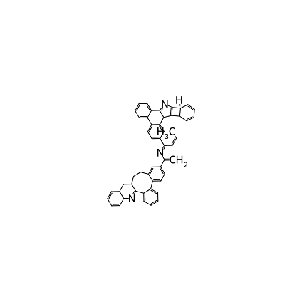 C=C(/N=C(\C=C/C)c1ccc2c(c1)C1C(=NC3=C1C1C=CC=C[C@H]31)c1ccccc1-2)c1ccc2c(c1)CCC1CC3C=CC=CC3N=C1c1ccccc1-2